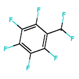 F[C](F)c1c(F)c(F)c(F)c(F)c1F